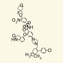 CC1(C)CCC(CN2CCN(c3ccc(C(=O)NS(=O)(=O)c4ccc(OCC5(F)CCOCC5)c([N+](=O)[O-])c4)c(Oc4cccc5c4CC(=O)N5)c3)CC2)=C(c2ccc(Cl)cc2)C1